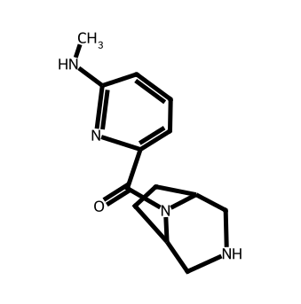 CNc1cccc(C(=O)N2C3CCC2CNC3)n1